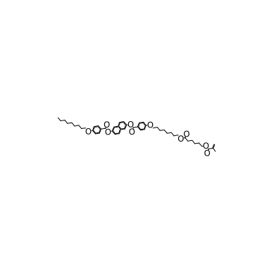 C=C(C)C(=O)OCCCCCC(=O)OCCCCCCCCOc1ccc(C(=O)Oc2ccc3cc(OC(=O)c4ccc(OCCCCCCCCC)cc4)ccc3c2)cc1